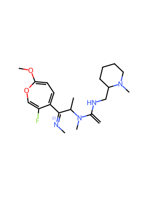 C=C(NCC1CCCCN1C)N(C)C(C)/C(=N\C)C1=CC=C(OC)OC=C1F